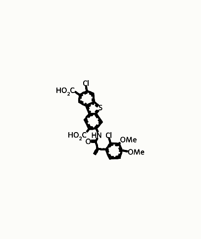 C=C(C(=O)Nc1cc2sc3cc(Cl)c(C(=O)O)cc3c2cc1C(=O)O)c1ccc(OC)c(OC)c1Cl